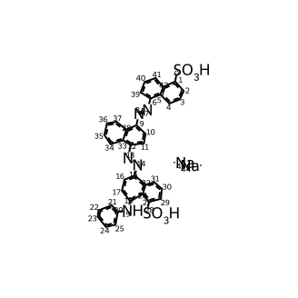 O=S(=O)(O)c1cccc2c(N=Nc3ccc(N=Nc4ccc(Nc5ccccc5)c5c(S(=O)(=O)O)cccc45)c4ccccc34)cccc12.[Na].[Na]